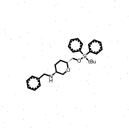 CC(C)(C)[Si](OC[C@H]1CC[C@H](NCc2ccccc2)CO1)(c1ccccc1)c1ccccc1